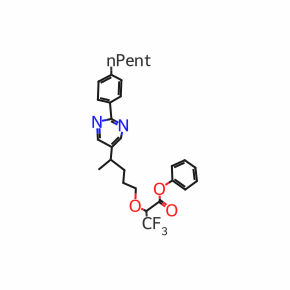 CCCCCc1ccc(-c2ncc(C(C)CCCOC(C(=O)Oc3ccccc3)C(F)(F)F)cn2)cc1